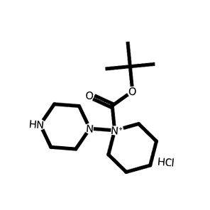 CC(C)(C)OC(=O)[N+]1(N2CCNCC2)CCCCC1.Cl